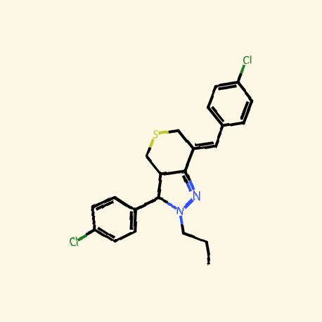 CCCN1N=C2C(=Cc3ccc(Cl)cc3)CSCC2C1c1ccc(Cl)cc1